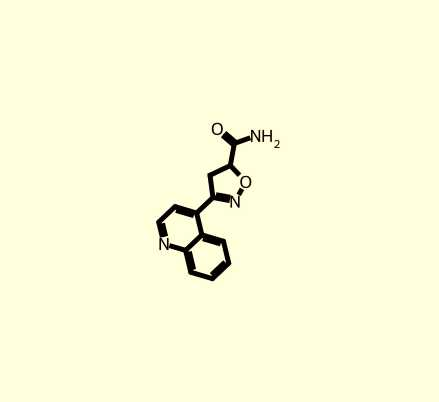 NC(=O)C1CC(c2ccnc3ccccc23)=NO1